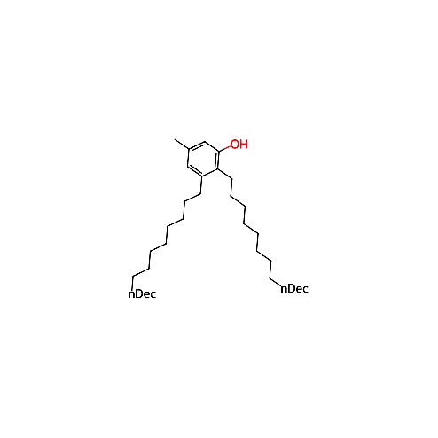 CCCCCCCCCCCCCCCCCCc1cc(C)cc(O)c1CCCCCCCCCCCCCCCCCC